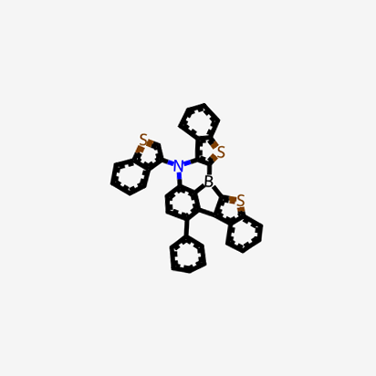 c1ccc(-c2ccc3c4c2-c2c(sc5ccccc25)B4c2sc4ccccc4c2N3c2csc3ccccc23)cc1